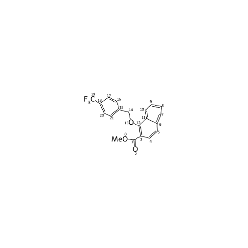 COC(=O)c1ccc2ccccc2c1OCc1ccc(C(F)(F)F)cc1